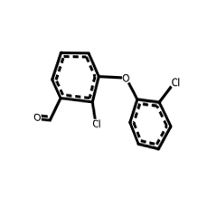 O=Cc1cccc(Oc2ccccc2Cl)c1Cl